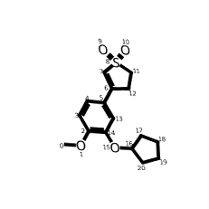 COc1ccc(C2=CS(=O)(=O)CC2)cc1OC1CCCC1